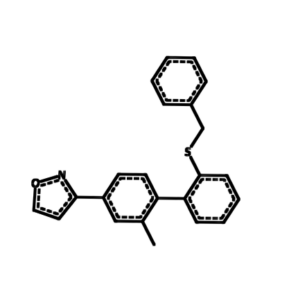 Cc1cc(-c2ccon2)ccc1-c1ccccc1SCc1ccccc1